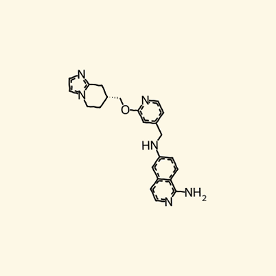 Nc1nccc2cc(NCc3ccnc(OC[C@@H]4CCn5ccnc5C4)c3)ccc12